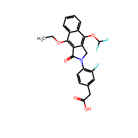 CCOc1c2c(c(OC(F)F)c3ccccc13)CN(c1ccc(CC(=O)O)cc1F)C2=O